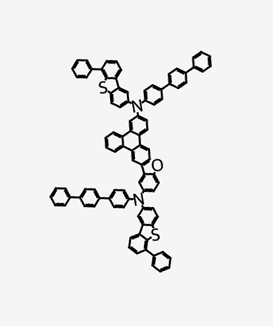 c1ccc(-c2ccc(-c3ccc(N(c4ccc5oc6cc7c8ccc(N(c9ccc(-c%10ccc(-c%11ccccc%11)cc%10)cc9)c9ccc%10sc%11c(-c%12ccccc%12)cccc%11c%10c9)cc8c8ccccc8c7cc6c5c4)c4ccc5sc6c(-c7ccccc7)cccc6c5c4)cc3)cc2)cc1